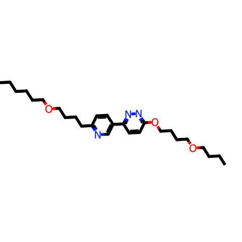 CCCCCCOCCCCc1ccc(-c2ccc(OCCCCOCCCC)nn2)cn1